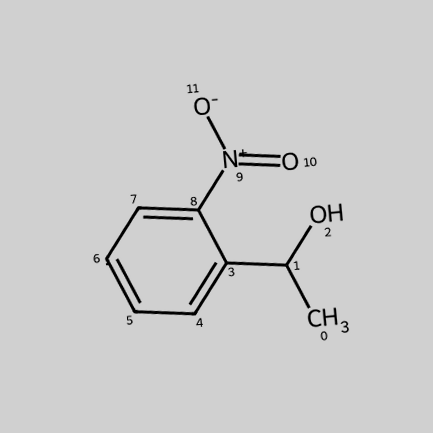 CC(O)c1cc[c]cc1[N+](=O)[O-]